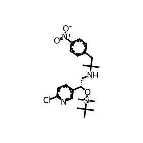 CC(C)(Cc1ccc([N+](=O)[O-])cc1)NC[C@H](O[Si](C)(C)C(C)(C)C)c1ccc(Cl)nc1